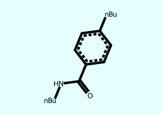 CCCCNC(=O)c1ccc(CCCC)cc1